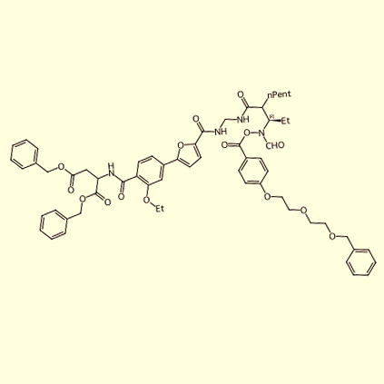 CCCCCC(C(=O)NCNC(=O)c1ccc(-c2ccc(C(=O)NC(CC(=O)OCc3ccccc3)C(=O)OCc3ccccc3)c(OCC)c2)o1)[C@@H](CC)N(C=O)OC(=O)c1ccc(OCCOCCOCc2ccccc2)cc1